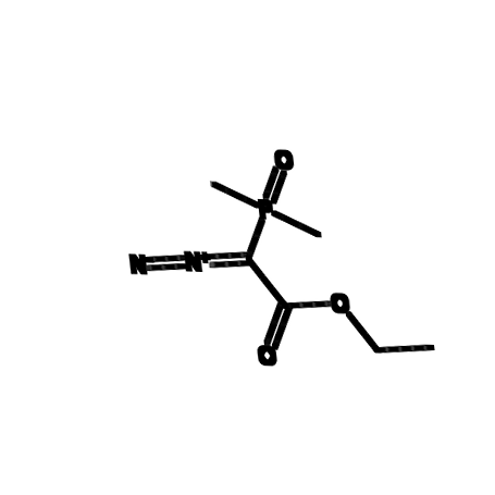 CCOC(=O)C(=[N+]=[N-])P(C)(C)=O